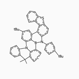 CC(C)(C)c1ccc(N2B3c4cccc5c4N(c4ccccc4C5(C)C)c4cc(C(C)(C)C)cc(c43)-c3c2ccc2sc4ccccc4c32)cc1